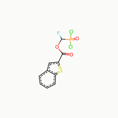 O=C(OC(F)P(=O)(Cl)Cl)c1cc2ccccc2s1